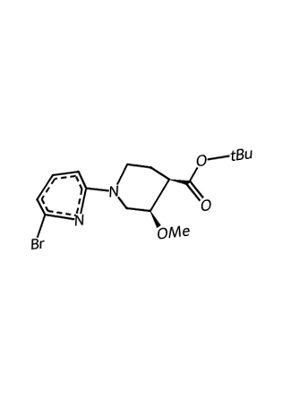 CO[C@H]1CN(c2cccc(Br)n2)CC[C@H]1C(=O)OC(C)(C)C